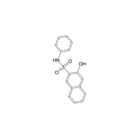 O=S(=O)(Nc1ccccc1)c1cc2ccccc2cc1O